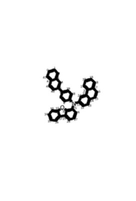 c1ccc2cc(-c3ccc(N(c4ccc5ccc6ccccc6c5c4)c4cccc5c4oc4ccccc45)cc3)ccc2c1